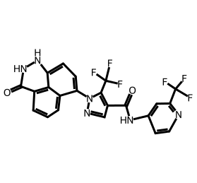 O=C(Nc1ccnc(C(F)(F)F)c1)c1cnn(-c2ccc3c4c(cccc24)C(=O)NN3)c1C(F)(F)F